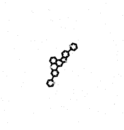 c1ccc(-c2ccc3c(c2)Sc2cccc4c2c-3cc2sc3cc(-c5ccccn5)ccc3c24)nc1